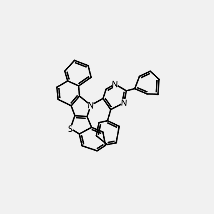 c1ccc(-c2ncc(-n3c4c5ccccc5ccc4c4sc5ccccc5c43)c(-c3ccccc3)n2)cc1